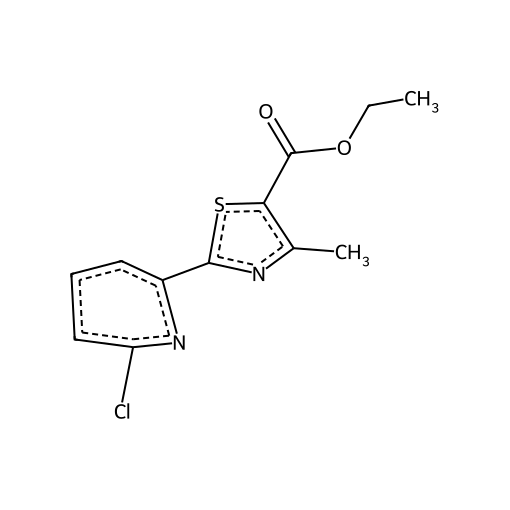 CCOC(=O)c1sc(-c2cccc(Cl)n2)nc1C